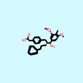 COc1cc([C@@H](O)[C@@H](CCCc2ccccc2)Cc2ccc(CC(=O)O)cc2)cc(OC)c1C